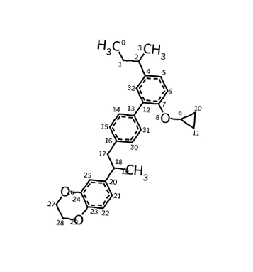 CCC(C)c1ccc(OC2CC2)c(-c2ccc(CC(C)c3ccc4c(c3)OCCO4)cc2)c1